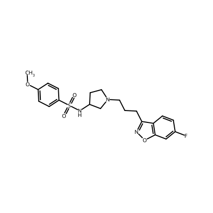 COc1ccc(S(=O)(=O)NC2CCN(CCCc3noc4cc(F)ccc34)C2)cc1